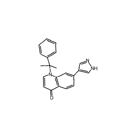 CC(C)(c1ccccc1)n1ccc(=O)c2ccc(-c3cn[nH]c3)cc21